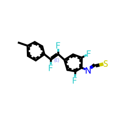 Cc1ccc(/C(F)=C(\F)c2cc(F)c(N=C=S)c(F)c2)cc1